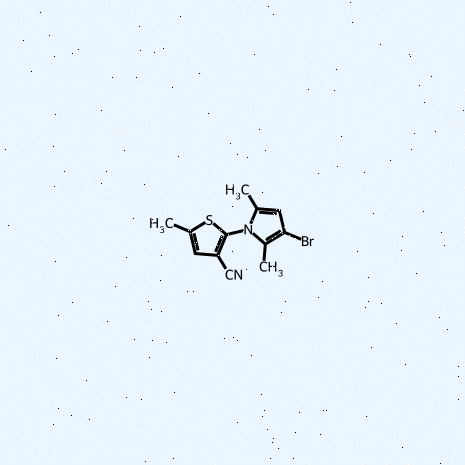 Cc1cc(C#N)c(-n2c(C)cc(Br)c2C)s1